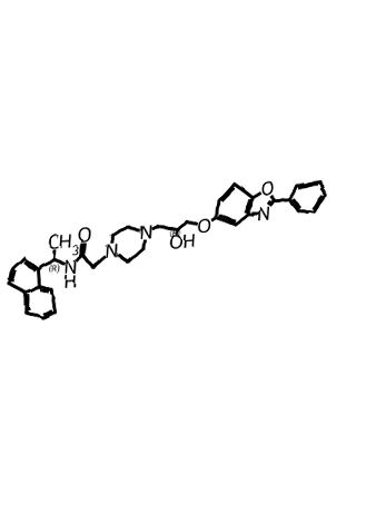 C[C@@H](NC(=O)CN1CCN(C[C@@H](O)COc2ccc3oc(-c4ccccc4)nc3c2)CC1)c1cccc2ccccc12